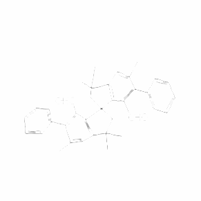 Cc1cc2c(c(C=O)c1-c1ccccc1)C1(CC2(C)C)CC(C)(C)c2cc(C)c(-c3ccccc3)c(C=O)c21